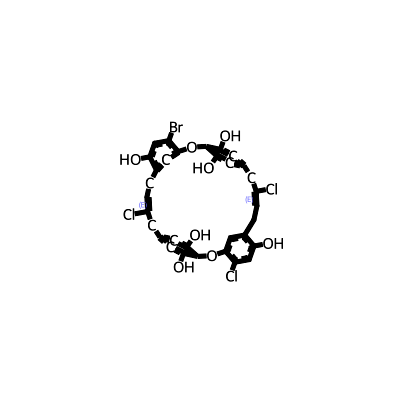 Oc1cc(Cl)c2cc1C/C=C(/Cl)Cc1cc(O)c(c(O)c1)Oc1cc(c(O)cc1Br)C/C=C(/Cl)Cc1cc(O)c(c(O)c1)O2